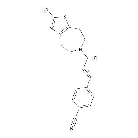 Cl.N#Cc1ccc(/C=C/CN2CCc3nc(N)sc3CC2)cc1